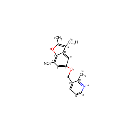 Cc1oc2c(C#N)cc(OCc3cccnc3C(F)(F)F)cc2c1C(=O)O